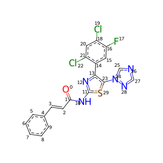 O=C(C=Cc1ccccc1)Nc1nc(-c2cc(F)c(Cl)cc2Cl)c(-n2cncn2)s1